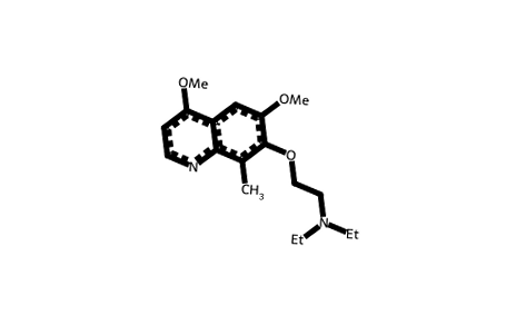 CCN(CC)CCOc1c(OC)cc2c(OC)ccnc2c1C